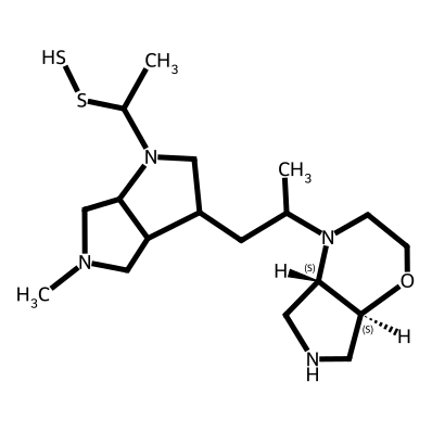 CC(SS)N1CC(CC(C)N2CCO[C@H]3CNC[C@@H]32)C2CN(C)CC21